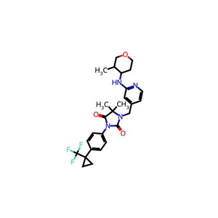 CC1COCCC1Nc1cc(CN2C(=O)N(c3ccc(C4(C(F)(F)F)CC4)cc3)C(=O)C2(C)C)ccn1